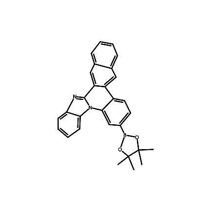 CC1(C)OB(c2ccc3c4cc5ccccc5cc4c4nc5ccccc5n4c3c2)OC1(C)C